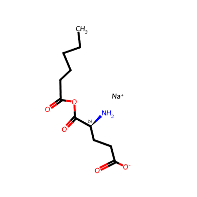 CCCCCC(=O)OC(=O)[C@@H](N)CCC(=O)[O-].[Na+]